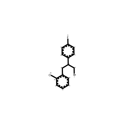 Fc1ccc(C(CBr)Cc2ccccc2Cl)cc1